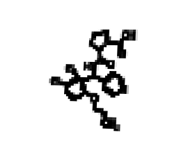 C=CCOc1ccc(Cl)c(Cl)c1C(NC(=O)[C@H]1CCCN1C(=O)O)c1ccncc1